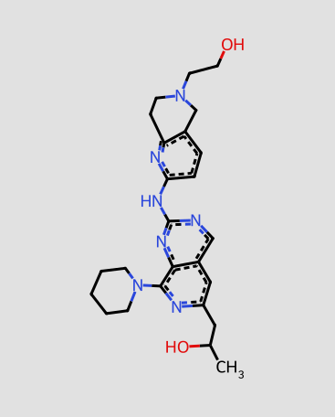 CC(O)Cc1cc2cnc(Nc3ccc4c(n3)CCN(CCO)C4)nc2c(N2CCCCC2)n1